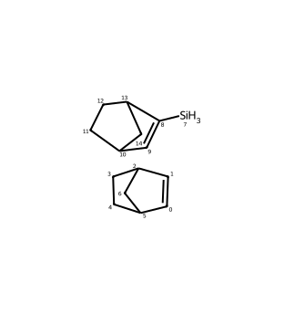 C1=CC2CCC1C2.[SiH3]C1=CC2CCC1C2